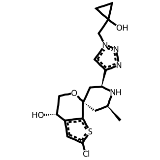 C[C@H]1C[C@@]2(C[C@@H](c3cn(CC4(O)CC4)nn3)N1)OC[C@@H](O)c1cc(Cl)sc12